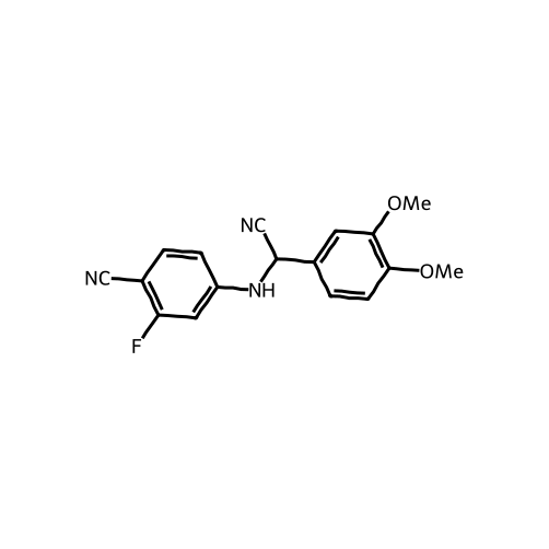 COc1ccc(C(C#N)Nc2ccc(C#N)c(F)c2)cc1OC